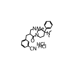 CNCC(Cc1cccc(C#N)c1)C(=O)N1CCC(c2ccccc2)(N(C)C)CC1.Cl.Cl